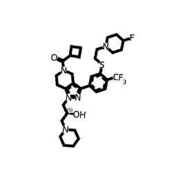 O=C(C1CCC1)N1CCc2c(c(-c3ccc(C(F)(F)F)c(SCCN4CCC(F)CC4)c3)nn2C[C@@H](O)CN2CCCCC2)C1